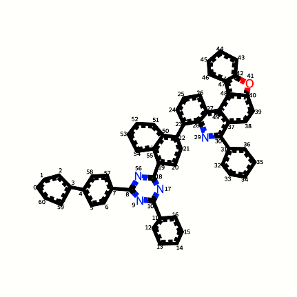 c1ccc(-c2ccc(-c3nc(-c4ccccc4)nc(-c4ccc(-c5cccc6c5nc(-c5ccccc5)c5ccc7oc8ccccc8c7c56)c5ccccc45)n3)cc2)cc1